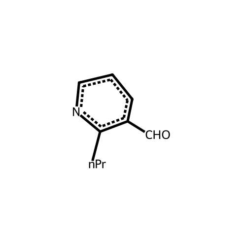 CCCc1ncccc1C=O